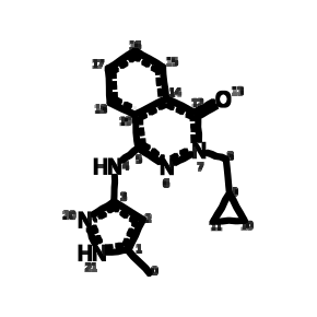 Cc1cc(Nc2nn(CC3CC3)c(=O)c3ccccc23)n[nH]1